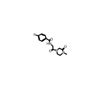 CN1CCN(C(=O)CNC(=O)c2ccc(F)cc2)CC1=O